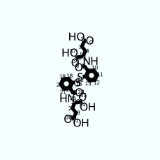 O=C(O)CCC(NC(=O)c1ccccc1SSc1ccccc1C(=O)NC(CCC(=O)O)C(=O)O)C(=O)O